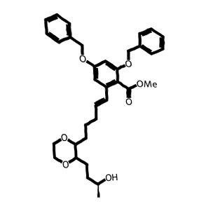 COC(=O)c1c(C=CCCCC2OCCOC2CC[C@H](C)O)cc(OCc2ccccc2)cc1OCc1ccccc1